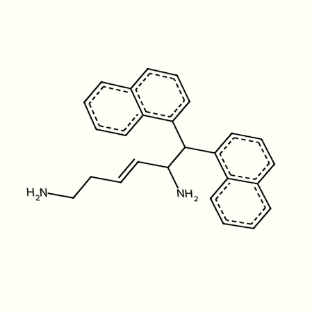 NCCC=CC(N)C(c1cccc2ccccc12)c1cccc2ccccc12